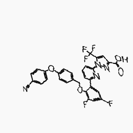 N#Cc1ccc(Oc2ccc(COc3c(F)cc(F)cc3-c3cccc(-n4nc(C(=O)O)cc4C(F)(F)F)n3)cc2)cc1